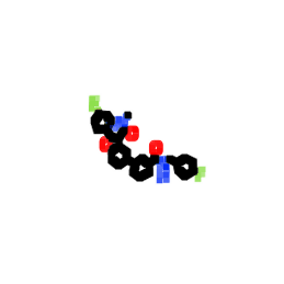 CNC(=O)c1c(-c2ccc(F)cc2)oc2ccc(-c3cccc(C(=O)NCc4ccc(F)cc4)c3)cc12